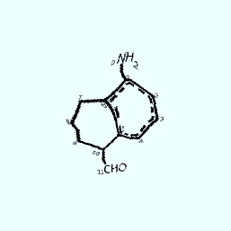 Nc1cccc2c1CCCC2C=O